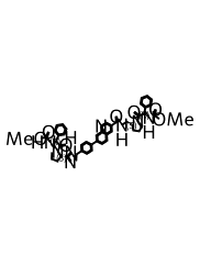 COC(=O)N[C@@H](C(=O)N1CCC[C@H]1CNC(=O)c1cnc2cc(-c3ccc(-c4cnc([C@@H]5CCCN5C(=O)[C@H](NC(=O)OC)c5ccccc5)[nH]4)cc3)ccc2c1)c1ccccc1